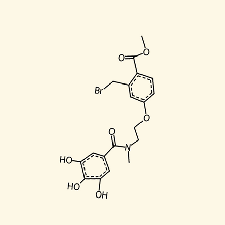 COC(=O)c1ccc(OCCN(C)C(=O)c2cc(O)c(O)c(O)c2)cc1CBr